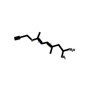 C#CCO/C(C)=C/C=C(\C)CC(N)C(=O)O